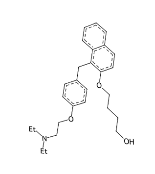 CCN(CC)CCOc1ccc(Cc2c(OCCCCO)ccc3ccccc23)cc1